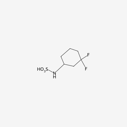 O=S(=O)(O)NC1CCCC(F)(F)C1